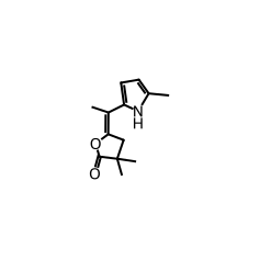 C/C(=C1/CC(C)(C)C(=O)O1)c1ccc(C)[nH]1